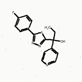 CCC(O)(c1ccncc1)c1nnc(-c2ccc(F)cc2)s1